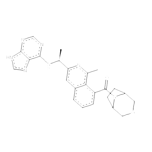 Cc1nc([C@H](C)Nc2ncnc3[nH]cnc23)cc2cccc(C(=O)N3C4CCC3COC4)c12